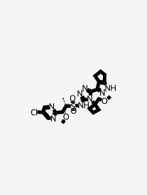 COCC1(n2c(NS(=O)(=O)[C@@H](C)[C@H](OC)c3ncc(Cl)cn3)nnc2-c2n[nH]c3c2CCC3)CCC1